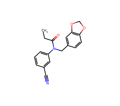 CCC(=O)N(Cc1ccc2c(c1)OCO2)c1cccc(C#N)c1